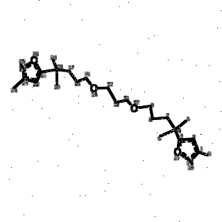 Cc1cc(C(C)(C)CCCOCCCOCCCC(C)(C)c2cc(C)no2)on1